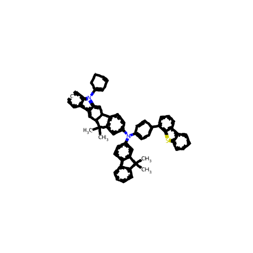 CC1(C)c2ccccc2-c2ccc(N(C3=CCC(c4cccc5c4sc4ccccc45)C=C3)c3ccc4c(c3)C(C)(C)C3C=c5c(n(C6=CC=CCC6)c6ccccc56)=CC43)cc21